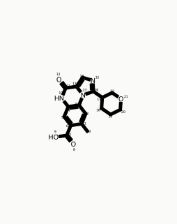 Cc1cc2c(cc1C(=O)O)[nH]c(=O)c1cnc(C3CCCOC3)n12